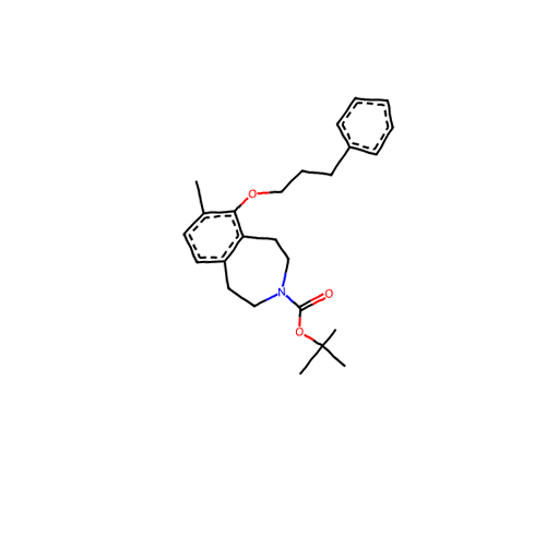 Cc1ccc2c(c1OCCCc1ccccc1)CCN(C(=O)OC(C)(C)C)CC2